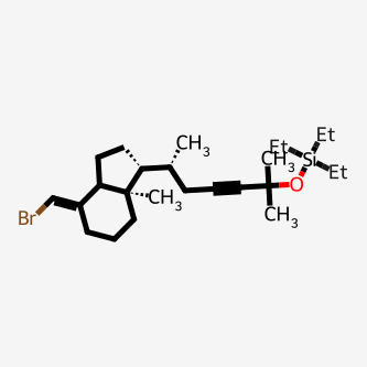 CC[Si](CC)(CC)OC(C)(C)C#CC[C@@H](C)[C@H]1CCC2/C(=C/Br)CCC[C@@]21C